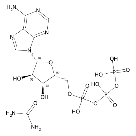 NC(N)=O.Nc1ncnc2c1ncn2[C@@H]1O[C@H](COP(=O)(O)OP(=O)(O)OP(=O)(O)O)[C@@H](O)[C@H]1O